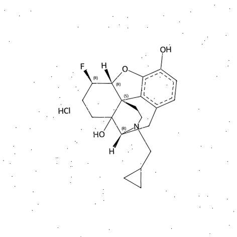 Cl.Oc1ccc2c3c1O[C@H]1[C@H](F)CCC4(O)[C@@H](C2)N(CC2CC2)CC[C@]314